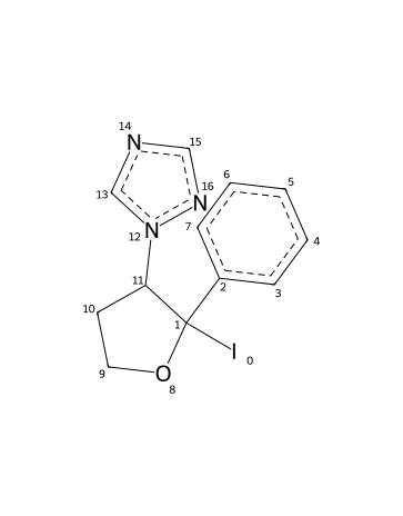 IC1(c2ccccc2)OCCC1n1cncn1